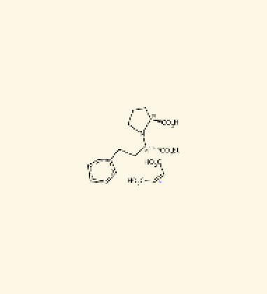 CCOC(=O)[C@H](CCc1ccccc1)N1CCC[C@H]1C(=O)O.O=C(O)/C=C\C(=O)O